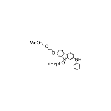 CCCCCCCOn1c2cc(Nc3ccccc3)ccc2c2ccc(OCCOCCOC)cc21